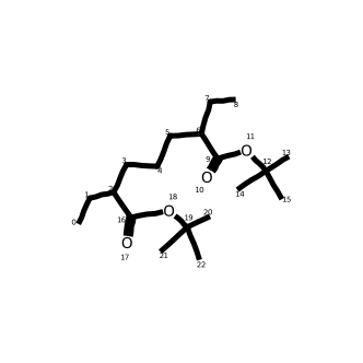 CCC(CCCC(CC)C(=O)OC(C)(C)C)C(=O)OC(C)(C)C